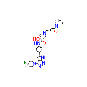 CN(CC(F)(F)F)C(=O)/C=C/CN1CCC(O)(C(=O)Nc2ccc(-c3cc4c(N5CCC(F)(F)CC5)ncnc4[nH]3)cc2)CC1